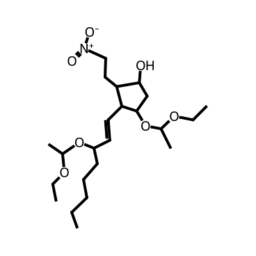 CCCCCC(C=CC1C(OC(C)OCC)CC(O)C1CC[N+](=O)[O-])OC(C)OCC